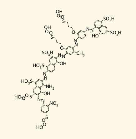 Cc1cc(N=Nc2c(S(=O)(=O)O)cc3c(S(=O)(=O)O)c(N=Nc4cc(S(=O)(=O)O)c5cc(SOOO)c(N=Nc6ccc(SOOO)cc6[N+](=O)[O-])c(O)c5c4N)ccc3c2O)c(OCCCSOOO)cc1N=Nc1ccc(N=Nc2ccc(S(=O)(=O)O)c3cc(S(=O)(=O)O)cc(O)c23)cc1OCCCSOOO